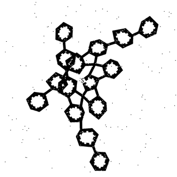 c1ccc(-c2ccc(-c3ccc4c(c3)C3(c5cc(-c6ccc(-c7ccccc7)cc6)ccc5-4)c4ccccc4-c4c3sc3c4-c4ccccc4C34c3cc(-c5ccc(-c6ccccc6)cc5)ccc3-c3ccc(-c5ccc(-c6ccccc6)cc5)cc34)cc2)cc1